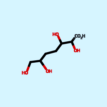 O=C(O)C(O)C(O)CCC(O)CO